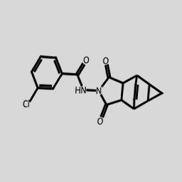 O=C(NN1C(=O)C2C3C=CC(C4CC34)C2C1=O)c1cccc(Cl)c1